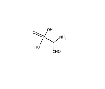 NC(C=O)P(=O)(O)O